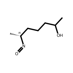 CC(O)CCC[C@@H](C)N=O